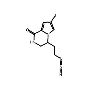 [N-]=[N+]=NCCC1CNC(=O)c2cc(I)cn21